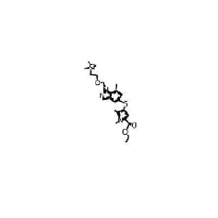 CCOC(=O)c1cc(Sc2cc(C)c3c(cnn3COCC[Si](C)(C)C)c2)c(C)n1C